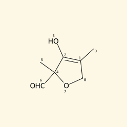 CC1=C(O)C(C)(C=O)OC1